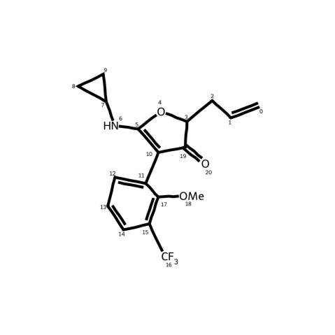 C=CCC1OC(NC2CC2)=C(c2cccc(C(F)(F)F)c2OC)C1=O